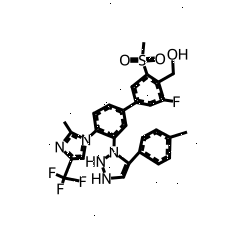 Cc1ccc(C2=CNNN2c2cc(-c3cc(F)c(CO)c(S(C)(=O)=O)c3)ccc2-n2cc(C(F)(F)F)nc2C)cc1